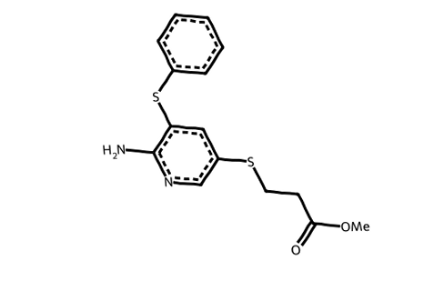 COC(=O)CCSc1cnc(N)c(Sc2ccccc2)c1